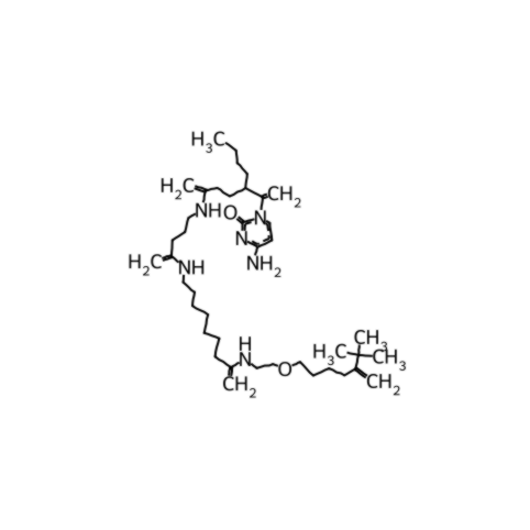 C=C(CCCNC(=C)CCC(CCCC)C(=C)n1ccc(N)nc1=O)NCCCCCCCC(=C)NCCOCCCCC(=C)C(C)(C)C